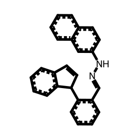 C1=CC(c2ccccc2C=NNc2ccc3ccccc3c2)c2ccccc21